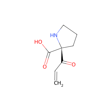 C=CC(=O)[C@]1(C(=O)O)CCCN1